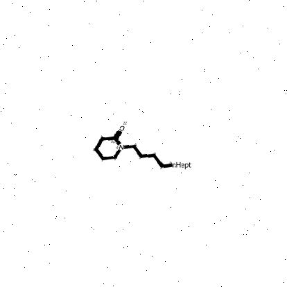 CCCCCCCCCCCN1CCCCC1=O